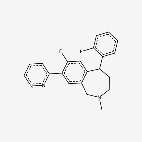 CN1CCC(c2ccccc2F)c2cc(F)c(-c3cccnn3)cc2C1